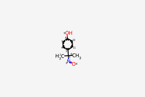 CC(C)(N=O)c1ccc(O)cc1